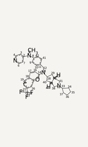 CN(c1ccncc1)c1ccc(CN(C(=O)C=Cc2ccc(C(F)(F)F)cc2)C2C[C@@H]3CN(C4CCCC4)C[C@@H]3C2)cc1